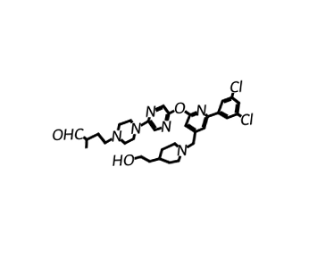 CC(C=O)CCN1CCN(c2cnc(Oc3cc(CN4CCC(CCO)CC4)cc(-c4cc(Cl)cc(Cl)c4)n3)cn2)CC1